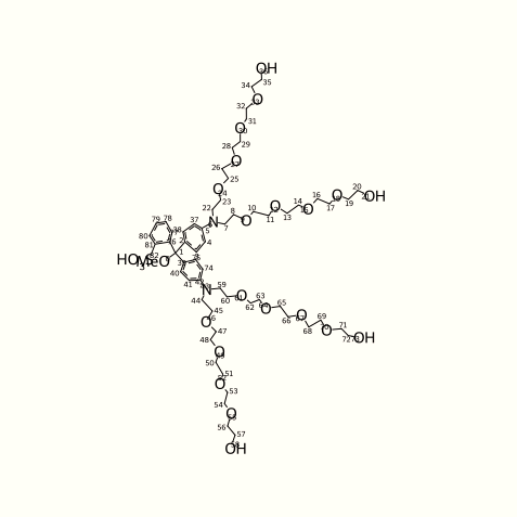 COC(c1ccc(N(CCOCCOCCOCCOCCO)CCOCCOCCOCCOCCO)cc1)(c1ccc(N(CCOCCOCCOCCOCCO)CCOCCOCCOCCOCCO)cc1)c1ccccc1S(=O)(=O)O